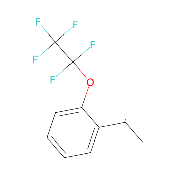 C[CH]c1ccccc1OC(F)(F)C(F)(F)F